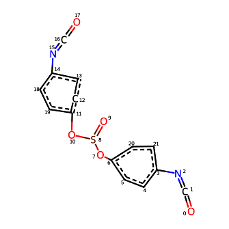 O=C=Nc1ccc(OS(=O)Oc2ccc(N=C=O)cc2)cc1